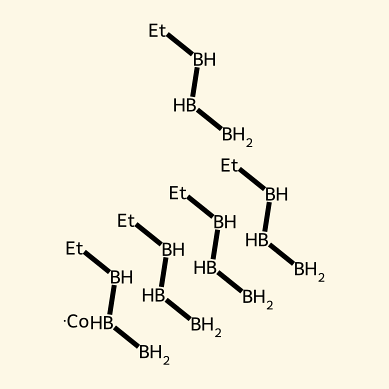 BBBCC.BBBCC.BBBCC.BBBCC.BBBCC.[Co]